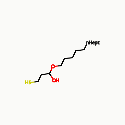 CCCCCCCCCCCCOC(O)CCS